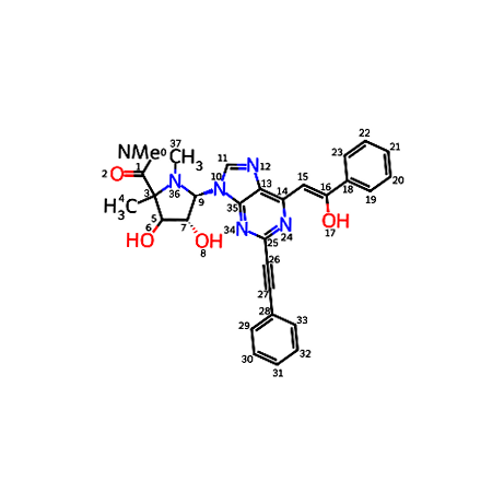 CNC(=O)C1(C)C(O)[C@@H](O)[C@H](n2cnc3c(/C=C(\O)c4ccccc4)nc(C#Cc4ccccc4)nc32)N1C